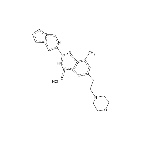 Cc1cc(CCN2CCOCC2)cc2c(=O)[nH]c(-c3cc4cccn4cn3)nc12.Cl